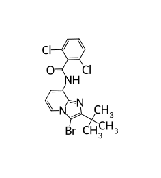 CC(C)(C)c1nc2c(NC(=O)c3c(Cl)cccc3Cl)cccn2c1Br